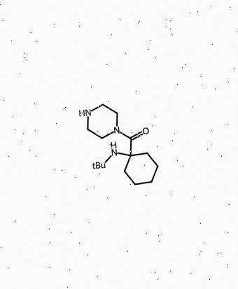 CC(C)(C)NC1(C(=O)N2CCNCC2)CCCCC1